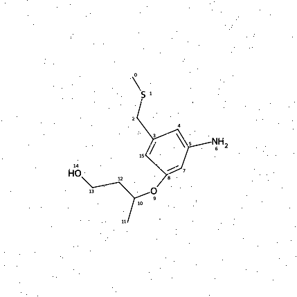 CSCc1cc(N)cc(OC(C)CCO)c1